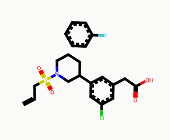 C=CCS(=O)(=O)N1CCCC(c2cc(Cl)cc(CC(=O)O)c2)C1.Fc1ccccc1